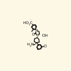 Cc1cc(C(=O)O)ccc1N1CCN([C@H]2CC[C@@](CN)(c3cccc(Cl)c3)CC2)C1=O.Cl